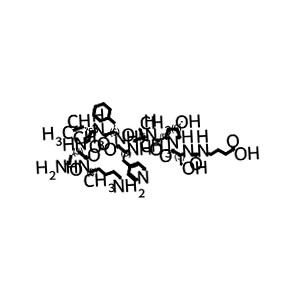 CC[C@](C)(NC(=O)[C@H]1C[C@H](O)CN1C(=O)[C@H](CO)NC(=O)NCCCC(=O)O)C(=O)N[C@@H](Cc1ccncc1)C(=O)N[C@@H](CC1CCCCC1)C(=O)N[C@@H](CC(C)(C)C)C(=O)N[C@@H](CC(N)=O)C(=O)N[C@H](C)CCCCN